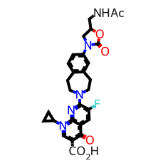 CC(=O)NCC1CN(c2ccc3c(c2)CCN(c2nc4c(cc2F)c(=O)c(C(=O)O)cn4C2CC2)CC3)C(=O)O1